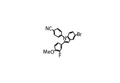 COc1ccc(-c2cc3cc(Br)ccc3n2-c2ccc(C#N)cc2)cc1F